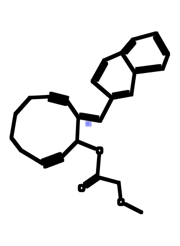 COCC(=O)OC1C#CCCCCC#C/C1=C\c1ccc2ccccc2c1